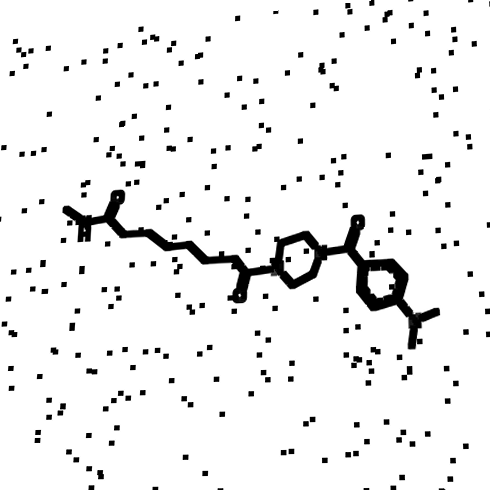 CNC(=O)CCCCCCC(=O)N1CCN(C(=O)c2ccc(N(C)C)cc2)CC1